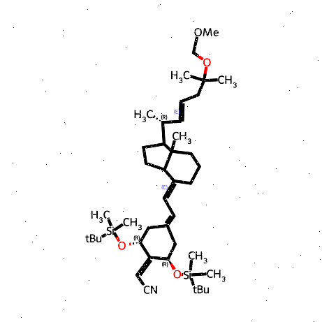 COCOC(C)(C)C/C=C/[C@@H](C)C1CCC2/C(=C/C=C3C[C@@H](O[Si](C)(C)C(C)(C)C)C(=CC#N)[C@H](O[Si](C)(C)C(C)(C)C)C3)CCCC21C